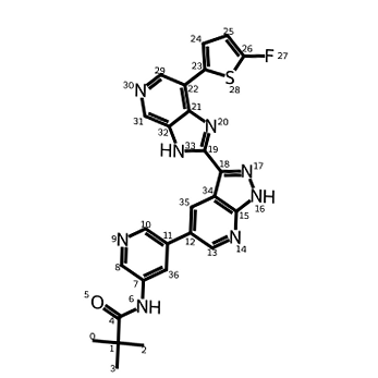 CC(C)(C)C(=O)Nc1cncc(-c2cnc3[nH]nc(-c4nc5c(-c6ccc(F)s6)cncc5[nH]4)c3c2)c1